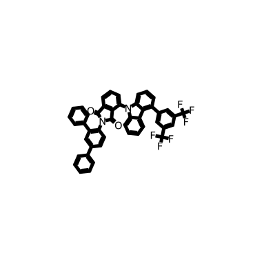 O=C1c2cccc(-n3c4ccccc4c4c(-c5cc(C(F)(F)F)cc(C(F)(F)F)c5)cccc43)c2C(=O)N1c1ccc(-c2ccccc2)cc1-c1ccccc1